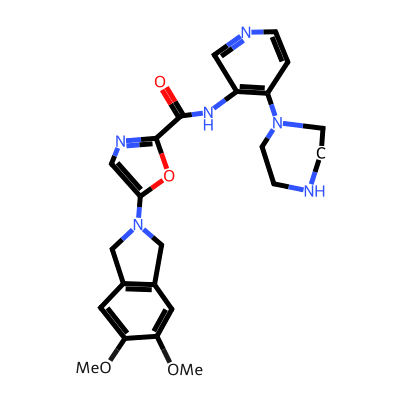 COc1cc2c(cc1OC)CN(c1cnc(C(=O)Nc3cnccc3N3CCNCC3)o1)C2